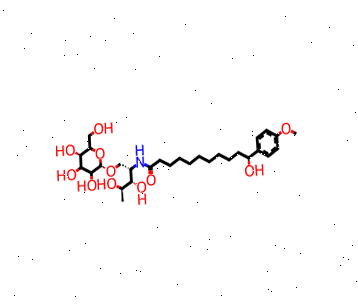 COc1ccc([C@@H](O)CCCCCCCCCC(=O)N[C@@H](CO[C@H]2OC(CO)[C@H](O)C(O)C2O)[C@H](O)[C@@H](C)O)cc1